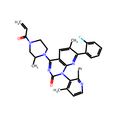 C=CC(=O)N1CCN(c2nc(=O)n(-c3c(C)ccnc3C(C)C)c3nc(-c4ccccc4F)c(C)cc23)C(C)C1